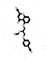 N#Cc1ccc(OCC(COc2cccc3oc(C#N)cc(=O)c23)OC=O)cc1